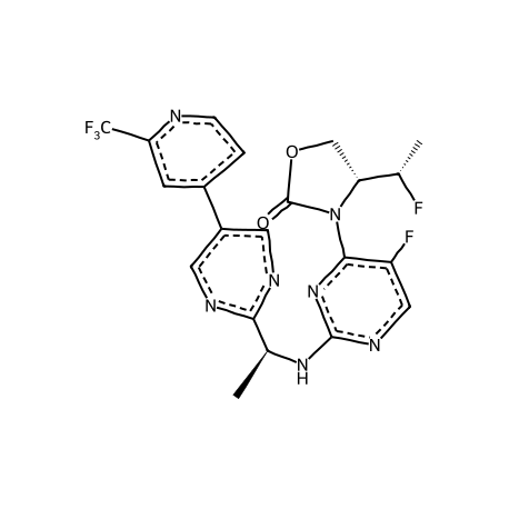 C[C@H](Nc1ncc(F)c(N2C(=O)OC[C@@H]2[C@H](C)F)n1)c1ncc(-c2ccnc(C(F)(F)F)c2)cn1